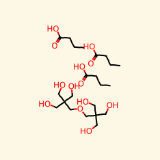 CCCC(=O)O.CCCC(=O)O.CCCC(=O)O.OCC(CO)(CO)COCC(CO)(CO)CO